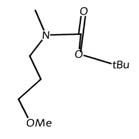 COCCCN(C)C(=O)OC(C)(C)C